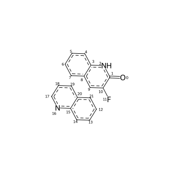 O=c1[nH]c2ccccc2cc1F.c1ccc2ncccc2c1